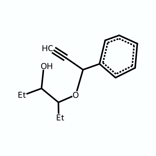 C#CC(OC(CC)C(O)CC)c1ccccc1